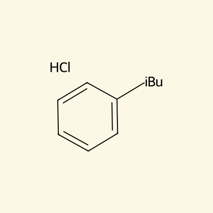 Cl.[CH2]CC(C)c1ccccc1